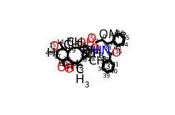 CO[C@@H](C(=O)O[C@H]1C[C@@]2(O)[C@@H](C)C3[C@]4(C)CO[C@@H]4C[C@H](O)[C@@]3(C)C(=O)[C@H](C)C(=C1C)C2(C)C)[C@@H](NC(=O)c1ccccc1)c1ccccc1